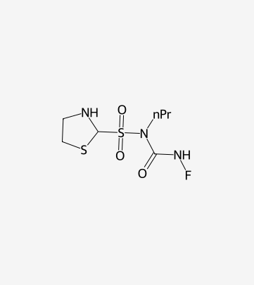 CCCN(C(=O)NF)S(=O)(=O)C1NCCS1